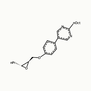 CCCCCCCCc1ncc(-c2ccc(OC[C@H]3O[C@@H]3CCC)cc2)cn1